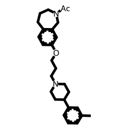 CC(=O)N1CCCc2ccc(OCCCN3CCC(c4cccc(C)c4)CC3)cc2C1